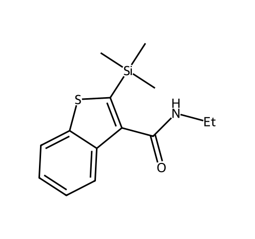 CCNC(=O)c1c([Si](C)(C)C)sc2ccccc12